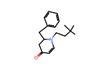 CC(C)(C)CCN1C=CC(=O)CC1Cc1ccccc1